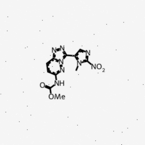 COC(=O)Nc1ccc2nnc(-c3cnc([N+](=O)[O-])n3C)n2n1